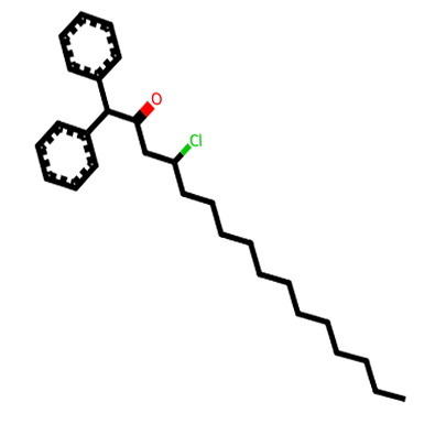 CCCCCCCCCCCCC(Cl)CC(=O)C(c1ccccc1)c1ccccc1